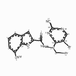 COc1cccc2cc(C(=O)NN(CC(C)C)c3nc(C#N)ncc3Br)oc12